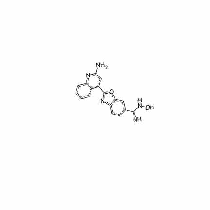 N=C(NO)c1ccc2nc(-c3cc(N)nc4ccccc34)oc2c1